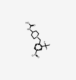 O=C(O)NC1CCN(Cc2ccc([N+](=O)[O-])cc2C(F)(F)F)CC1